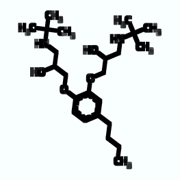 CCCCc1ccc(OCC(O)CNC(C)(C)C)c(OCC(O)CNC(C)(C)C)c1